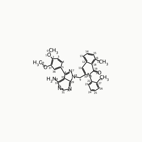 COc1ccc(-c2nn(Cc3cc4cccc(C)c4c(=O)n3-c3ccccc3C)c3ncnc(N)c23)cc1OC